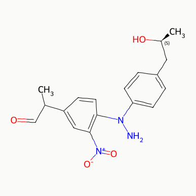 CC(C=O)c1ccc(N(N)c2ccc(C[C@H](C)O)cc2)c([N+](=O)[O-])c1